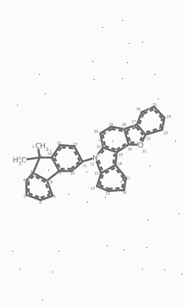 CC1(C)c2ccccc2-c2cc(-n3c4ccccc4c4c5oc6ccccc6c5ccc43)ccc21